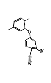 Cc1ccc(C)c(Oc2ccc(C#N)c(Br)c2)c1